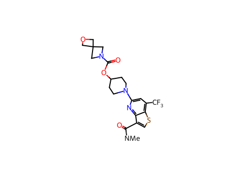 CNC(=O)c1csc2c(C(F)(F)F)cc(N3CCC(OC(=O)N4CC5(COC5)C4)CC3)nc12